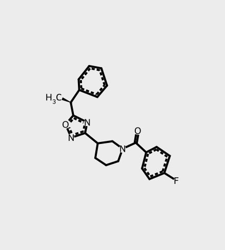 C[C@@H](c1ccccc1)c1nc(C2CCCN(C(=O)c3ccc(F)cc3)C2)no1